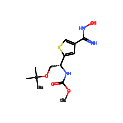 CC(C)(C)OC(=O)N[C@H](CO[Si](C)(C)C(C)(C)C)c1cc(C(=N)NO)cs1